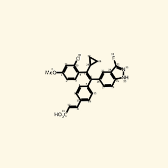 COc1ccc(C(=C(c2ccc(C=CC(=O)O)cc2)c2ccc3[nH]nc(F)c3c2)C2CC2)c(Cl)c1